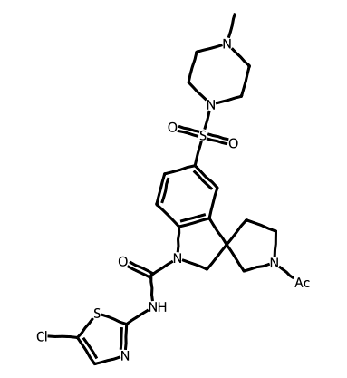 CC(=O)N1CCC2(C1)CN(C(=O)Nc1ncc(Cl)s1)c1ccc(S(=O)(=O)N3CCN(C)CC3)cc12